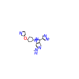 CNc1cc2c(cn1)c(-c1cnn(C)c1)nn2C1CCC(Oc2cccnc2)CC1